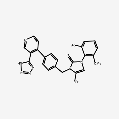 CCCc1cn(-c2c(OC)cccc2C(C)=O)c(=O)n1Cc1ccc(-c2ccncc2-c2nnn[nH]2)cc1